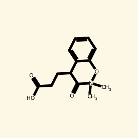 C[N+]1(C)Oc2ccccc2C(CCC(=O)O)C1=O